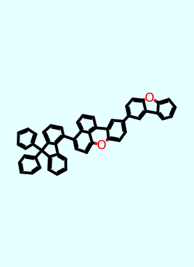 c1ccc(C2(c3ccccc3)c3ccccc3-c3c(-c4ccc5c6c(cccc46)-c4cc(-c6ccc7oc8ccccc8c7c6)ccc4O5)cccc32)cc1